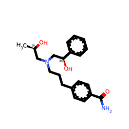 C[C@@H](O)CN(CCCc1ccc(C(N)=O)cc1)C[C@H](O)c1ccccc1